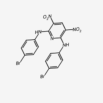 O=[N+]([O-])c1cc([N+](=O)[O-])c(Nc2ccc(Br)cc2)nc1Nc1ccc(Br)cc1